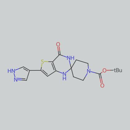 CC(C)(C)OC(=O)N1CCC2(CC1)NC(=O)c1sc(-c3cn[nH]c3)cc1N2